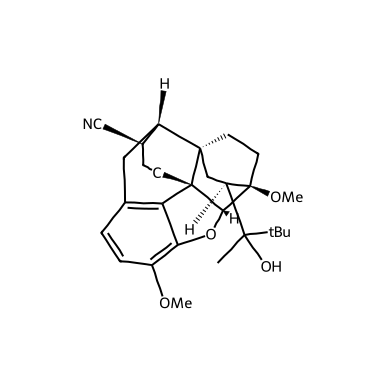 COc1ccc2c3c1O[C@H]1[C@@]4(OC)CC[C@@]5(C[C@@H]4C(C)(O)C(C)(C)C)[C@@H](C2)[C@H](C#N)CC[C@]315